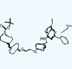 CCc1cnn2c(NCc3ccc(OCCOCC4CCN(CC5CCN(C(=O)OC(C)(C)C)CC5)CC4)nc3)cc(N3CCCC[C@H]3CCO)nc12